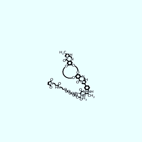 C=C(Nc1ccc(C2=CN3C(=O)c4cc5c(cc4N=C[C@@H]3C2)OCCCOc2cc3c(cc2OCCCCCCCCO5)C(=O)N2C=C(C)C[C@H]2C=N3)cc1)[C@H](C)NC(=O)[C@@H](NC(=O)OOOOOOOOCCNC(=O)CCN1C(=O)C=CC1=O)C(C)C